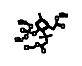 Cc1cc(CC(=O)OC(C)(C)C)c(C(C)(C)CC(=O)OCCl)c(OP(=O)(OC(C)(C)C)OC(C)(C)C)c1